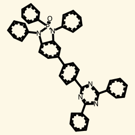 O=P1(c2ccccc2)N(c2ccccc2)c2ccc(-c3ccc(-c4nc(-c5ccccc5)nc(-c5ccccc5)n4)cc3)cc2N1c1ccccc1